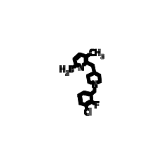 Bc1ccc(C)c(CC2CCN(Cc3cccc(Cl)c3F)CC2)n1